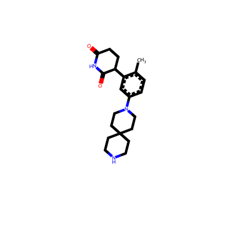 Cc1ccc(N2CCC3(CCNCC3)CC2)cc1C1CCC(=O)NC1=O